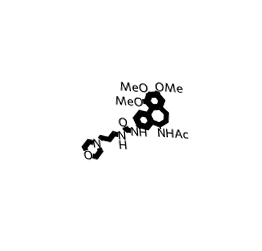 COc1cc2c(c(OC)c1OC)-c1ccc(NC(=O)NCCCN3CCOCC3)cc1[C@@H](NC(C)=O)CC2